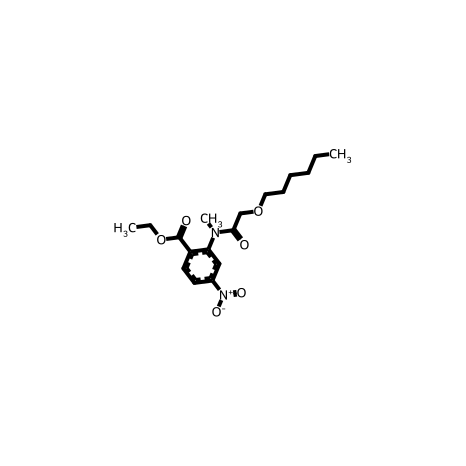 CCCCCCOCC(=O)N(C)c1cc([N+](=O)[O-])ccc1C(=O)OCC